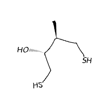 C[C@@H](CS)[C@@H](O)CS